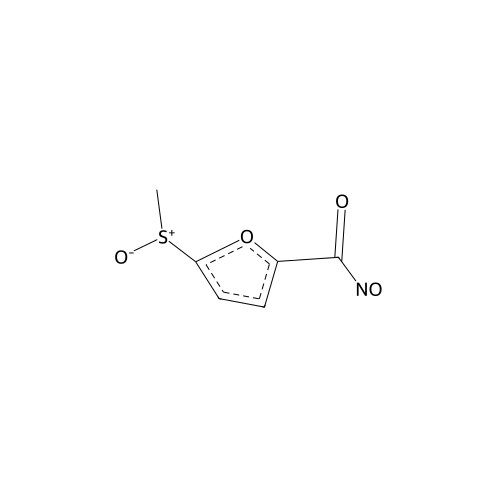 C[S+]([O-])c1ccc(C(=O)N=O)o1